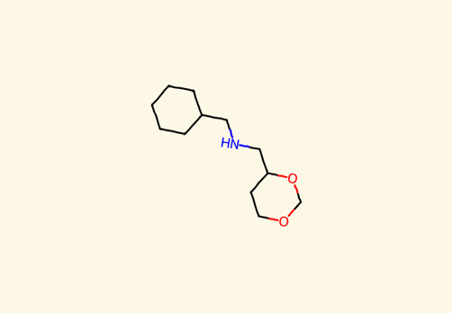 C1CCC(CNCC2CCOCO2)CC1